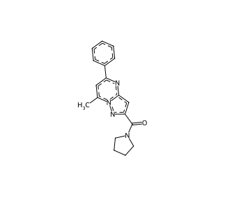 Cc1cc(-c2ccccc2)nc2cc(C(=O)N3CCCC3)nn12